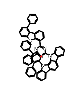 c1ccc(-c2ccc(-n3c4ccccc4c4ccc5c6ccccc6n(-c6nc(-c7ccccc7)nc(-c7cccc8c7oc7cccc(-c9ccccc9)c78)n6)c5c43)c(-c3ccccc3)c2)cc1